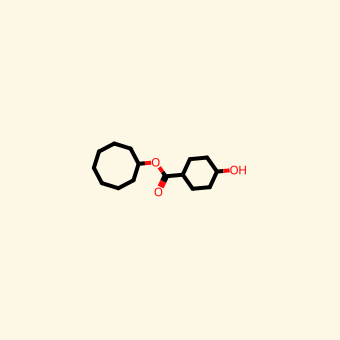 O=C(OC1CCCCCCC1)C1CCC(O)CC1